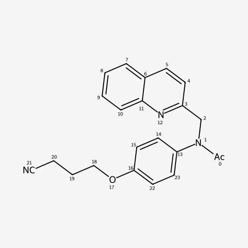 CC(=O)N(Cc1ccc2ccccc2n1)c1ccc(OCCCC#N)cc1